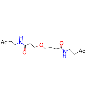 CC(=O)CCNC(=O)CCCOCCC(=O)NCCC(C)=O